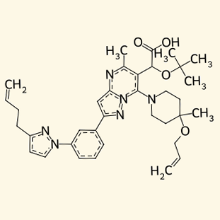 C=CCCc1ccn(-c2cccc(-c3cc4nc(C)c(C(OC(C)(C)C)C(=O)O)c(N5CCC(C)(OCC=C)CC5)n4n3)c2)n1